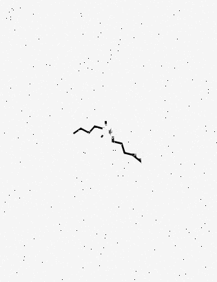 CCCC[Si](C)(C)OCCCC1CO1